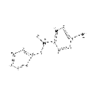 CC(C)c1cnc(N(C)Cc2ccccc2)nc1